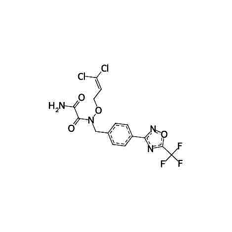 NC(=O)C(=O)N(Cc1ccc(-c2noc(C(F)(F)F)n2)cc1)OCC=C(Cl)Cl